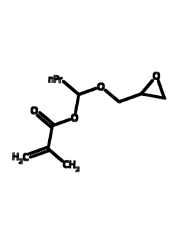 C=C(C)C(=O)OC(CCC)OCC1CO1